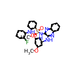 COc1cc(Nc2nc3ccccc3nc2NS(=O)(=O)c2ccccc2Nc2ccccc2F)cc(OC)c1